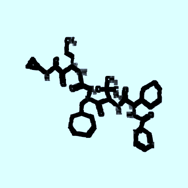 CCC[C@H](NC(=O)CN(CC1CCCCCC1)C(=O)C(NC(=O)[C@@H](NC(=O)c1cnccn1)C1CCCCC1)C(C)(C)C)C(=O)C(=O)NC1CC1